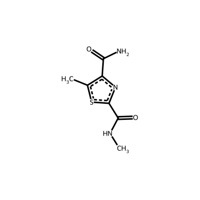 CNC(=O)c1nc(C(N)=O)c(C)s1